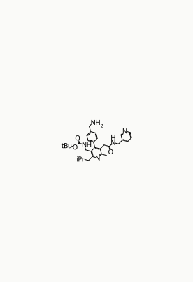 Cc1nc(CC(C)C)c(CNC(=O)OC(C)(C)C)c(-c2ccc(CN)cc2)c1CC(=O)NCc1cccnc1